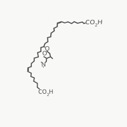 CC(CC(=O)OC(CCCCCCCC/C=C\CCCCCCCC(=O)O)CCCCCCCC/C=C\CCCCCCCC(=O)O)C(C)CN(C)C